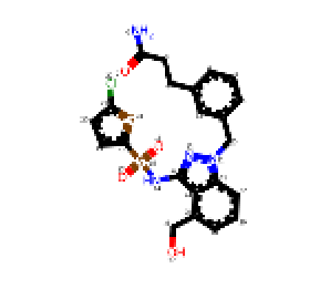 NC(=O)CCc1cccc(Cn2nc(NS(=O)(=O)c3ccc(Cl)s3)c3c(CO)cccc32)c1